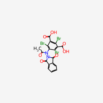 CC(=O)N(c1c(Br)c(C(=O)O)c(Br)c(C(=O)O)c1Br)N1C(=O)c2ccccc2C1=O